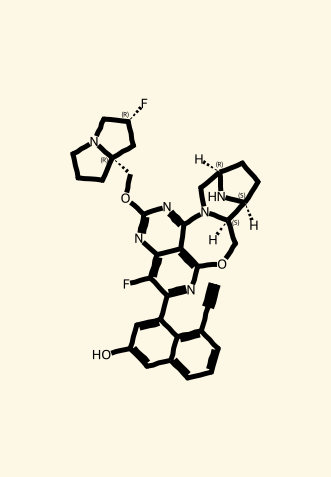 C#Cc1cccc2cc(O)cc(-c3nc4c5c(nc(OC[C@]67CCCN6C[C@H](F)C7)nc5c3F)N3C[C@H]5CC[C@H](N5)[C@H]3CO4)c12